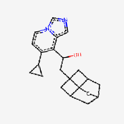 OC(CC12CC3CC4CC(C1)C32C4)c1c(C2CC2)ccn2cncc12